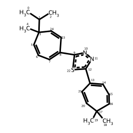 CC(C)C1(C)C=CC=C(c2nnc(C3=CC=CC(C)(C)C=C3)s2)C=C1